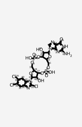 Nc1nc2c(ncn2C2OC3COP(=O)(O)OC4C(COP(=O)(O)OC3C2O)OC(n2c(Cl)nc3cc(Cl)c(Cl)cc32)C4O)c(=O)[nH]1